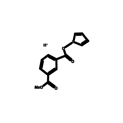 COC(=O)c1cccc(C(=O)On2cccc2)c1.[H+]